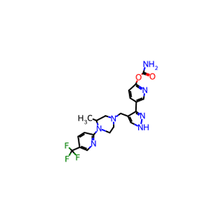 CC1CN(Cc2c[nH]nc2-c2ccc(OC(N)=O)nc2)CCN1c1ccc(C(F)(F)F)cn1